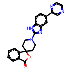 O=C1OC2(CCN(c3nc4cc(-c5cnccn5)ccc4[nH]3)CC2)c2ccccc21